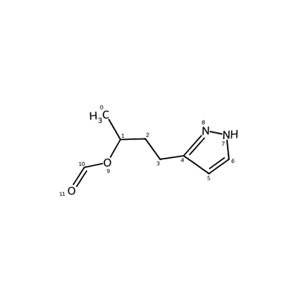 CC(CCc1cc[nH]n1)OC=O